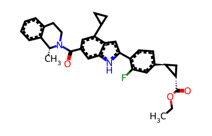 CCOC(=O)[C@H]1C[C@@H]1c1ccc(-c2cc3c(C4CC4)cc(C(=O)N4CCc5ccccc5[C@H]4C)cc3[nH]2)c(F)c1